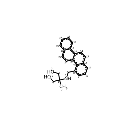 CC(CO)(CO)NCc1cccc2ccc3c4ccccc4ccc3c12